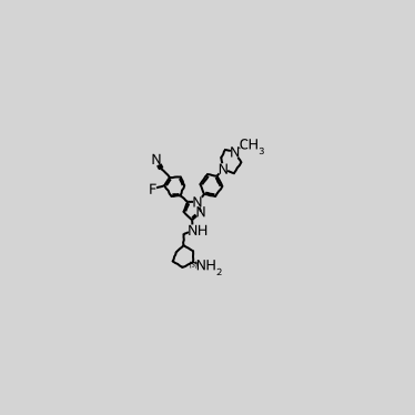 CN1CCN(c2ccc(-n3nc(NCC4CCC[C@H](N)C4)cc3-c3ccc(C#N)c(F)c3)cc2)CC1